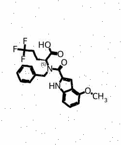 COc1cccc2[nH]c(C(=O)N(Cc3ccccc3)[C@@H](CCC(F)(F)F)C(=O)O)cc12